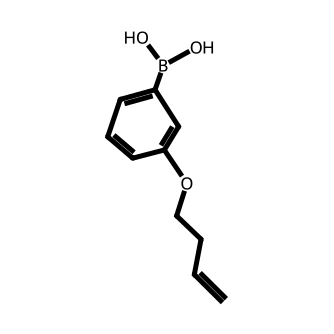 C=CCCOc1cccc(B(O)O)c1